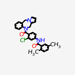 Cc1ccc(C)c(C(=O)Nc2ccc(C(=O)N3Cc4cccn4Cc4ccccc43)c(Cl)c2)c1